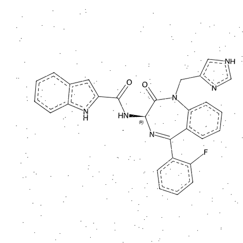 O=C(N[C@@H]1N=C(c2ccccc2F)c2ccccc2N(Cc2c[nH]cn2)C1=O)c1cc2ccccc2[nH]1